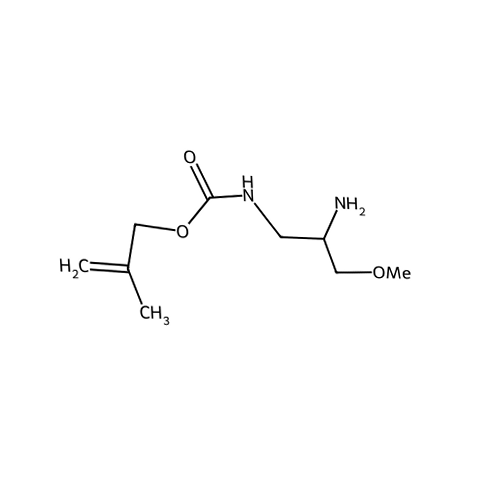 C=C(C)COC(=O)NCC(N)COC